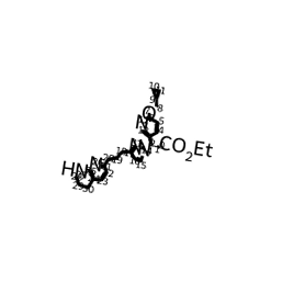 CCOC(=O)C[C@@H](c1ccc(OCC2CC2)nc1)n1ccc(CCCc2ccc3c(n2)NCCC3)n1